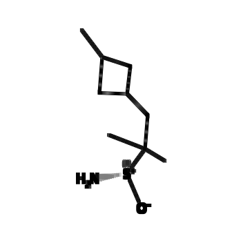 CC1CC(CC(C)(C)[S@@+](N)[O-])C1